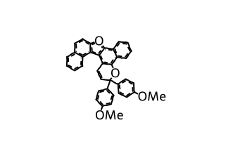 COc1ccc(C2(c3ccc(OC)cc3)C=Cc3c(c4ccccc4c4oc5ccc6ccccc6c5c34)O2)cc1